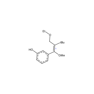 CCOC/C(=C(/OC)c1cccc(O)c1)C(C)(C)C